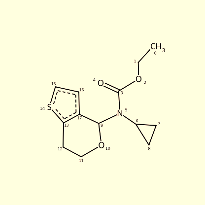 CCOC(=O)N(C1CC1)C1OCCc2sccc21